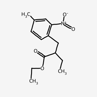 CCOC(=O)C(CC)Cc1ccc(C)cc1[N+](=O)[O-]